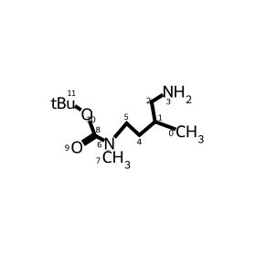 CC(CN)CCN(C)C(=O)OC(C)(C)C